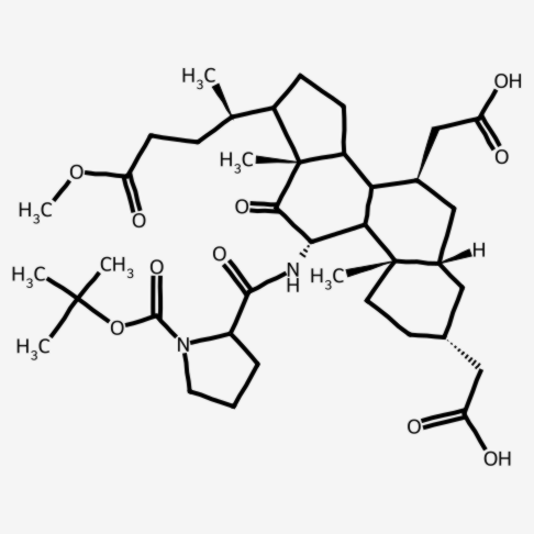 COC(=O)CC[C@@H](C)C1CCC2C3C([C@H](NC(=O)C4CCCN4C(=O)OC(C)(C)C)C(=O)[C@@]21C)[C@@]1(C)CC[C@@H](CC(=O)O)C[C@H]1C[C@@H]3CC(=O)O